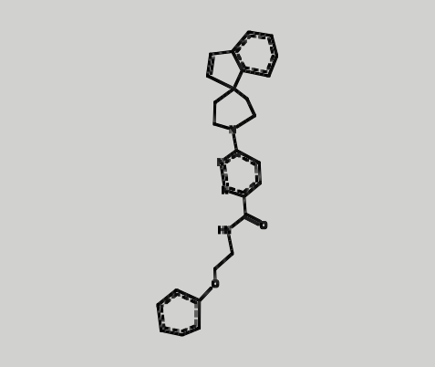 O=C(NCCOc1ccccc1)c1ccc(N2CCC3(C=Cc4ccccc43)CC2)nn1